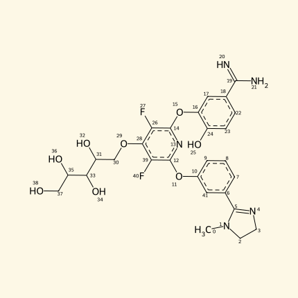 CN1CCN=C1c1cccc(Oc2nc(Oc3cc(C(=N)N)ccc3O)c(F)c(OCC(O)C(O)C(O)CO)c2F)c1